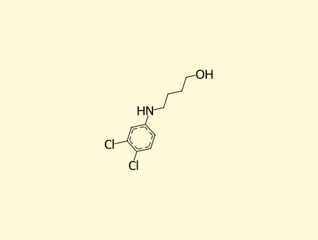 OCCCCNc1ccc(Cl)c(Cl)c1